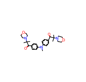 CN(c1ccc(C(=O)C(C)(C)N2CCOCC2)cc1)c1ccc(C(=O)C(C)(C)N2CCOCC2)cc1